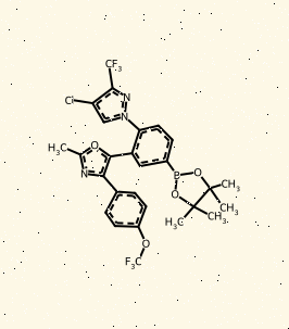 Cc1nc(-c2ccc(OC(F)(F)F)cc2)c(-c2cc(B3OC(C)(C)C(C)(C)O3)ccc2-n2cc(Cl)c(C(F)(F)F)n2)o1